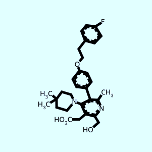 Cc1nc(CO)c(CC(=O)O)c(N2CCC(C)(C)CC2)c1-c1ccc(OCCc2ccc(F)cc2)cc1